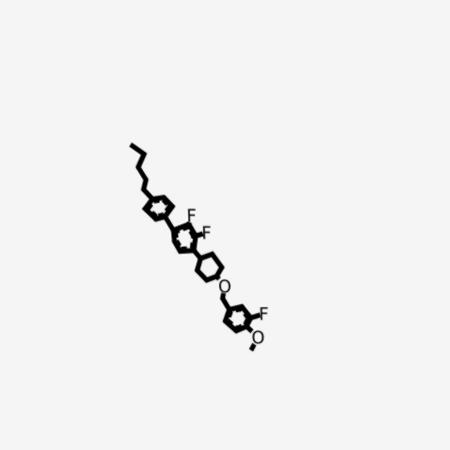 CCCCCc1ccc(-c2ccc(C3CCC(OCc4ccc(OC)c(F)c4)CC3)c(F)c2F)cc1